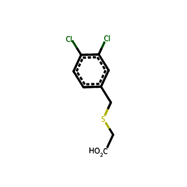 O=C(O)CSCc1ccc(Cl)c(Cl)c1